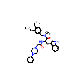 CCc1ccc(CN(C)C(=O)C(Cc2c[nH]c3ccccc23)NC(=O)CN2CCN(c3ccccc3)CC2)cc1CC